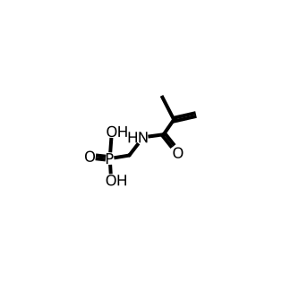 C=C(C)C(=O)NCP(=O)(O)O